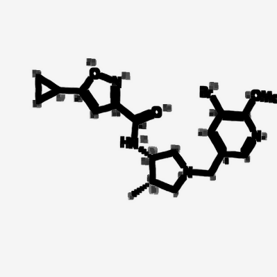 COc1ncc(CN2C[C@H](C)[C@H](NC(=O)c3cc(C4CC4)on3)C2)cc1Br